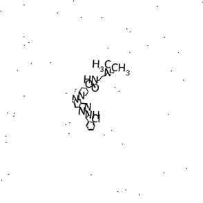 CCN(CC)CCCNC(=O)OC1CCN(c2nccc3nc(NCc4ccccc4Cl)ncc23)CC1